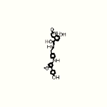 COc1ccc(Nc2ccc(CCNC[C@H](O)c3ccc(O)c4[nH]c(=O)ccc34)cc2)cc1-c1ccc(O)cc1